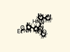 CCC(=O)Nc1cncc(-c2cnc3c(c2)c(-c2nc4c(-c5cccnc5)cncc4[nH]2)nn3C2CCCCO2)c1